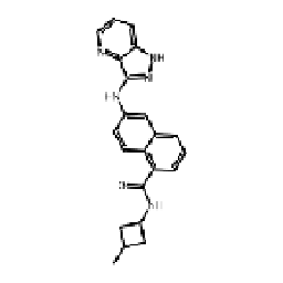 CC1CC(NC(=O)c2cccc3cc(Nc4n[nH]c5cccnc45)ccc23)C1